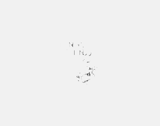 CC(C)(CN)CNC(=O)CC1CCC[C@]2(C1)OOC1(O2)C2CC3CC(C2)CC1C3